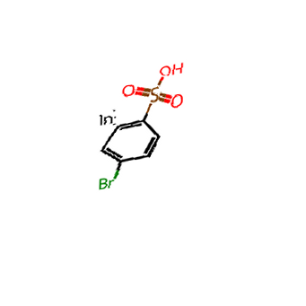 O=S(=O)(O)c1ccc(Br)cc1.[In]